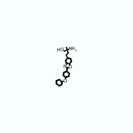 CC(N)(CO)CCc1ccc2oc(-c3ccc(Oc4ccccc4)cc3)nc2c1